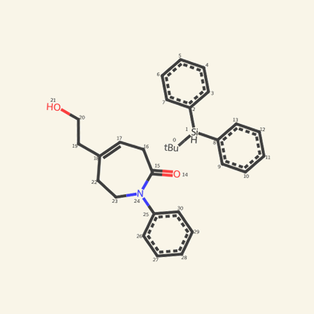 CC(C)(C)[SiH](c1ccccc1)c1ccccc1.O=C1CC=C(CCO)CCN1c1ccccc1